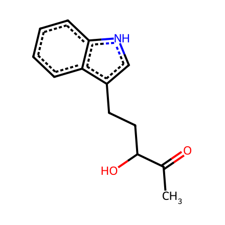 CC(=O)C(O)CCc1c[nH]c2ccccc12